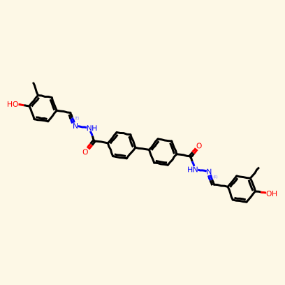 Cc1cc(/C=N/NC(=O)c2ccc(-c3ccc(C(=O)N/N=C/c4ccc(O)c(C)c4)cc3)cc2)ccc1O